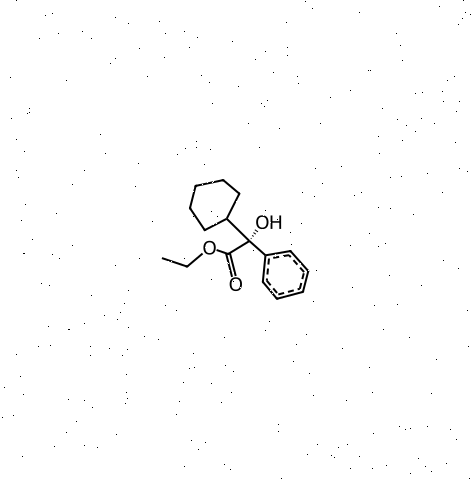 CCOC(=O)[C@](O)(c1ccccc1)C1CCCCC1